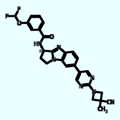 CC1(C#N)CN(c2ncc(-c3ccc4nc5n(c4c3)CC[C@H]5NC(=O)c3cccc(OC(F)F)c3)cn2)C1